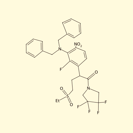 CCS(=O)(=O)CCC(C(=O)N1CC(F)(F)C(F)(F)C1)c1ccc([N+](=O)[O-])c(N(Cc2ccccc2)Cc2ccccc2)c1F